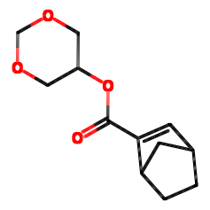 O=C(OC1COCOC1)C1=CC2CCC1C2